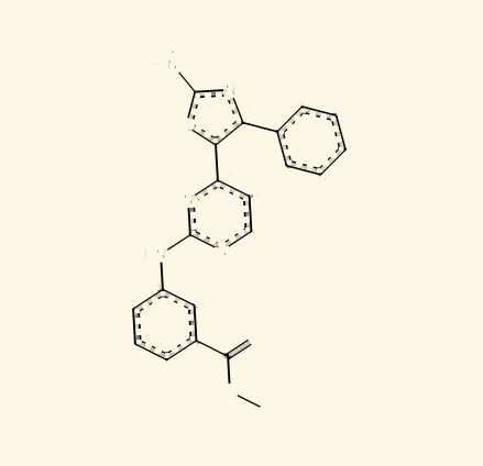 COC(=O)c1cccc(Nc2nccc(-c3sc(N)nc3-c3ccccc3)n2)c1